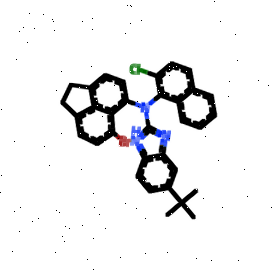 CC(C)(C)c1ccc2[nH]c(N(c3c(Cl)ccc4ccccc34)c3ccc4c5c(ccc(Br)c35)CC4)nc2c1